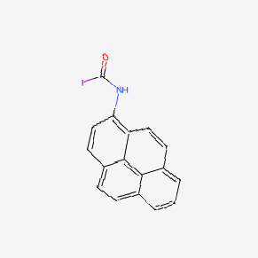 O=C(I)Nc1ccc2ccc3cccc4ccc1c2c34